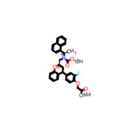 COC(=O)COc1ccc(C2C[C@H](CN(C(=O)OC(C)(C)C)[C@H](C)c3cccc4ccccc34)Oc3ccccc32)cc1F